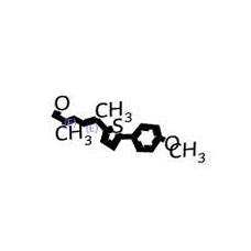 COc1ccc(-c2ccc(/C(C)=C/C=C(\C)C=O)s2)cc1